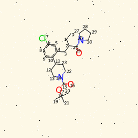 CCC(Cc1cc(Cl)ccc1C1CCN(C(=O)OC(C)(C)C)CC1)C(=O)N1CCCC1